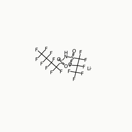 O=S(=O)(NS(=O)(=O)C(F)(F)C(F)(F)C(F)(F)C(F)(F)F)C(F)(F)C(F)(F)C(F)(F)F.[Li]